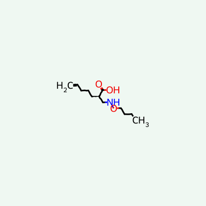 C=CCCC[C@H](CNOCCCC)C(=O)O